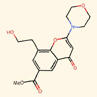 COC(=O)c1cc(CCO)c2oc(N3CCOCC3)cc(=O)c2c1